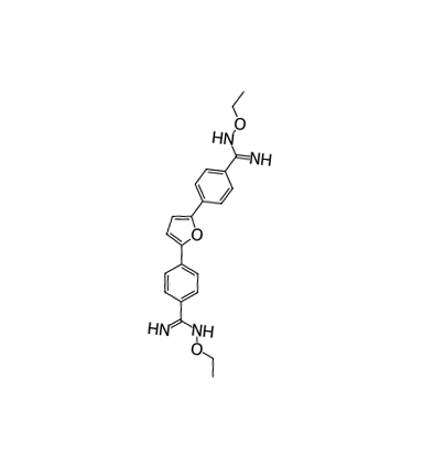 CCONC(=N)c1ccc(-c2ccc(-c3ccc(C(=N)NOCC)cc3)o2)cc1